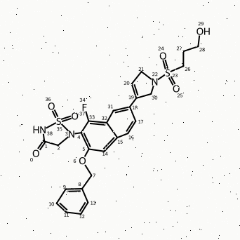 O=C1CN(c2c(OCc3ccccc3)cc3ccc(C4=CCN(S(=O)(=O)CCCO)C4)cc3c2F)S(=O)(=O)N1